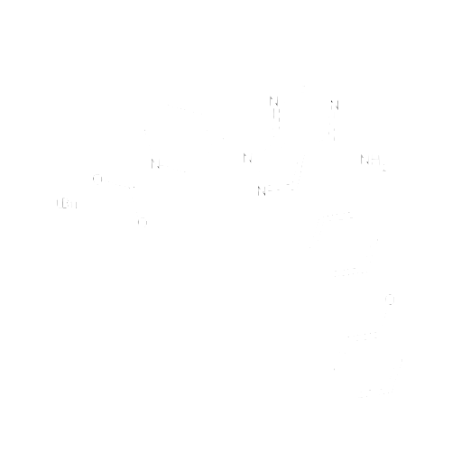 CC(C)(C)OC(=O)N1CCC[C@H](n2nc(-c3ccc(Oc4ccccc4)cc3)c3c(N)ncnc32)C1